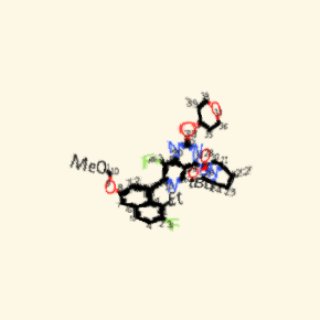 CCc1c(F)ccc2cc(OCOC)cc(-c3ncc4c(N5CC6CCC(C5)N6C(=O)OC(C)(C)C)nc(OC5CCOCC5)nc4c3F)c12